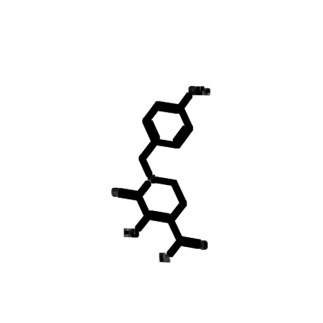 CCC(=O)C1=C(O)C(=O)N(Cc2ccc(OC)cc2)CC1